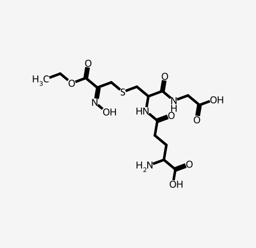 CCOC(=O)C(CSCC(NC(=O)CCC(N)C(=O)O)C(=O)NCC(=O)O)=NO